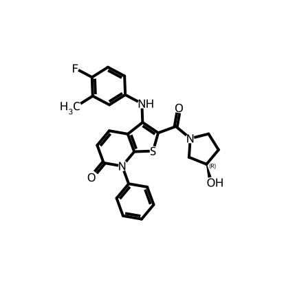 Cc1cc(Nc2c(C(=O)N3CC[C@@H](O)C3)sc3c2ccc(=O)n3-c2ccccc2)ccc1F